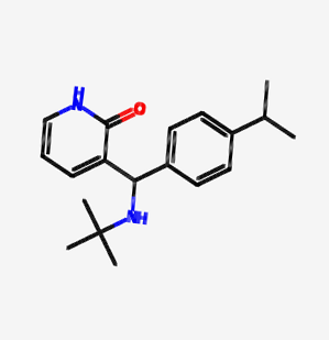 CC(C)c1ccc(C(NC(C)(C)C)c2ccc[nH]c2=O)cc1